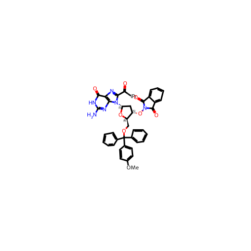 COc1ccc(C(OC[C@H]2O[C@H](n3c(C(=O)C(C)C)nc4c(=O)[nH]c(N)nc43)C[C@@H]2ON2C(=O)c3ccccc3C2=O)(c2ccccc2)c2ccccc2)cc1